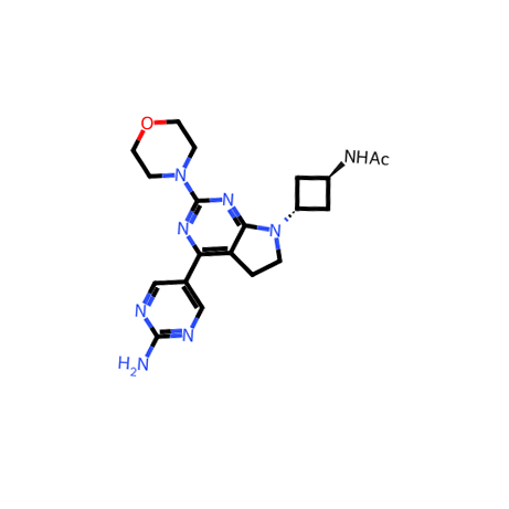 CC(=O)N[C@H]1C[C@H](N2CCc3c(-c4cnc(N)nc4)nc(N4CCOCC4)nc32)C1